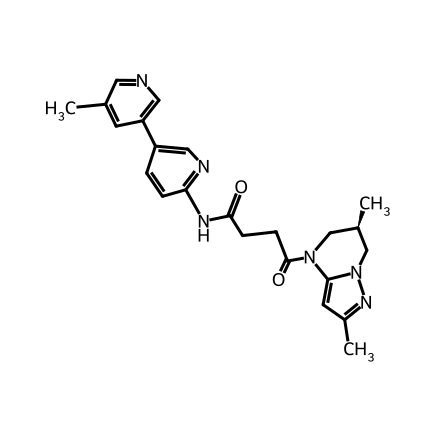 Cc1cncc(-c2ccc(NC(=O)CCC(=O)N3C[C@@H](C)Cn4nc(C)cc43)nc2)c1